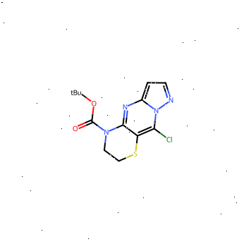 CC(C)(C)OC(=O)N1CCSc2c1nc1ccnn1c2Cl